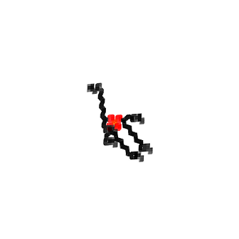 CCCCCCCC(CC)OP(=O)(OC(CC)CCCCCCC)OC(CC)CCCCCCC